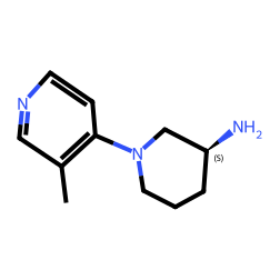 Cc1cnccc1N1CCC[C@H](N)C1